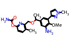 COc1c(N)cc(C(C)OCc2nc(OC(N)=O)ccc2C)cc1-c1ccn(C)n1